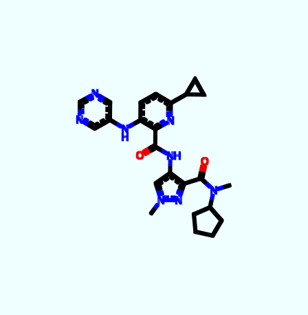 CN(C(=O)c1nn(C)cc1NC(=O)c1nc(C2CC2)ccc1Nc1cncnc1)C1CCCC1